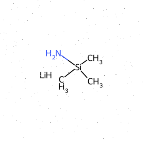 C[Si](C)(C)N.[LiH]